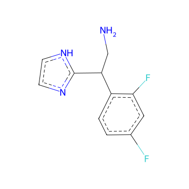 NCC(c1ncc[nH]1)c1ccc(F)cc1F